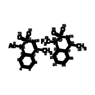 CC(=O)N1c2ccccc2C(C)=NS1(=O)=O.CC1=NS(=O)(=O)N(C(F)(F)F)c2ccccc21